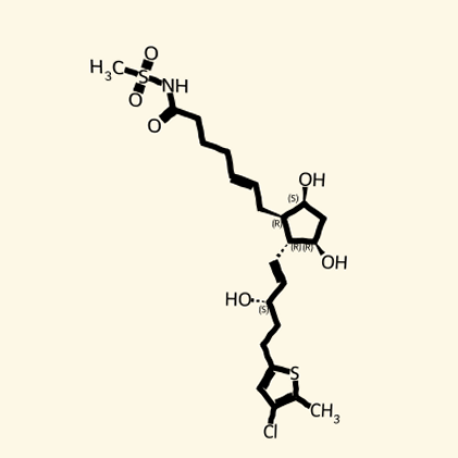 Cc1sc(CC[C@H](O)C=C[C@@H]2[C@@H](CC=CCCCC(=O)NS(C)(=O)=O)[C@@H](O)C[C@H]2O)cc1Cl